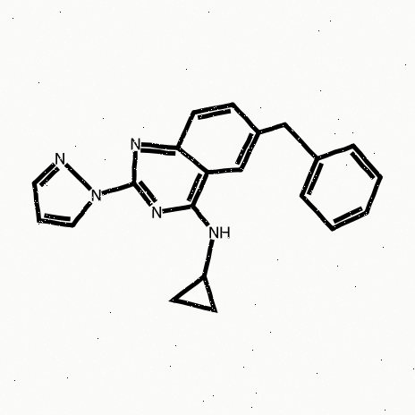 c1ccc(Cc2ccc3nc(-n4cccn4)nc(NC4CC4)c3c2)cc1